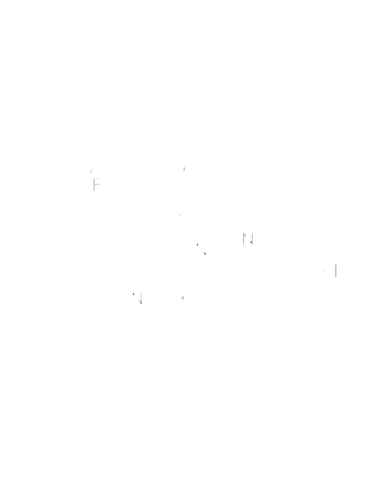 CCc1nc2ccc(Cl)nn2c(=O)c1F